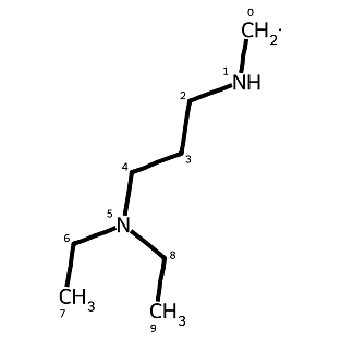 [CH2]NCCCN(CC)CC